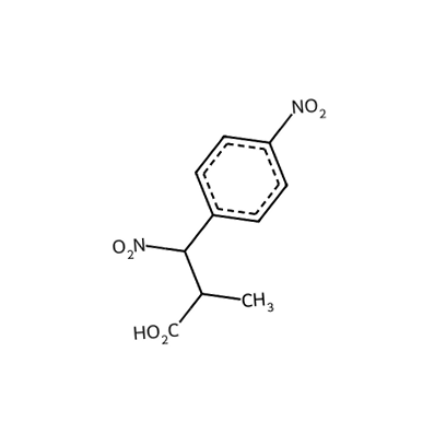 CC(C(=O)O)C(c1ccc([N+](=O)[O-])cc1)[N+](=O)[O-]